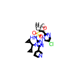 CO[C@H](c1ncc(Cl)cn1)[C@H](C)S(=O)(=O)Nc1nnc(-c2cccnc2)n1C(C1CC1)C1CC1